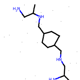 CC(N)CNCC1CCC(CNC(C)CN)CC1